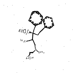 CCOC(=O)[C@](Cc1ccccc1)(c1ccccc1)C(C)CN(C)CC(=O)O